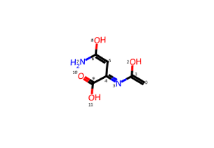 C=C(O)/N=C(\C=C(/N)O)C(=O)O